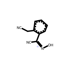 N#CCc1ccccc1/C(C#N)=N\O